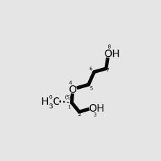 C[C@@H](CO)OCCCO